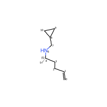 C=CCC[C@H](C)NCC1CC1